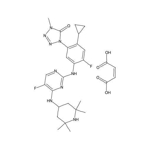 Cn1nnn(-c2cc(Nc3ncc(F)c(NC4CC(C)(C)NC(C)(C)C4)n3)c(F)cc2C2CC2)c1=O.O=C(O)/C=C\C(=O)O